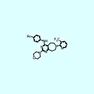 CC(=O)c1ccc(Nc2nc(N3CCOCC3)nc3c2CCN(c2ncccc2C(F)(F)F)CC3)cc1